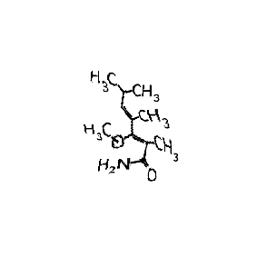 COC(=C(/C)C(N)=O)/C(C)=C/C(C)C